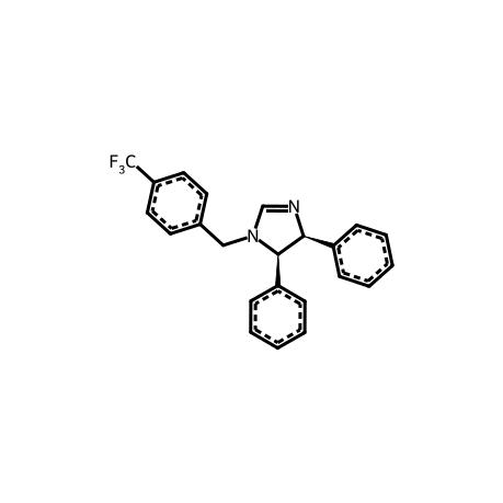 FC(F)(F)c1ccc(CN2C=N[C@@H](c3ccccc3)[C@H]2c2ccccc2)cc1